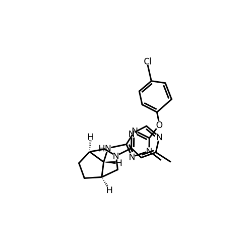 Cc1cc(N2C[C@H]3CC[C@@H](C2)[C@@H]3Nc2nc(Oc3ccc(Cl)cc3)n(C)n2)ncn1